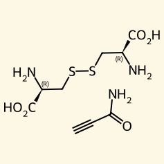 C#CC(N)=O.N[C@@H](CSSC[C@H](N)C(=O)O)C(=O)O